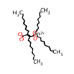 CCCCCCCCC(C(=O)[O-])=C(CCCCCCCC)C(=O)[O-].CCCCCCC[CH2][Sn+2][CH2]CCCCCCC